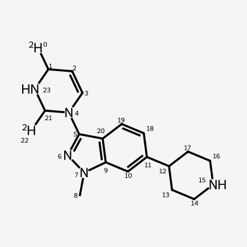 [2H]C1C=CN(c2nn(C)c3cc(C4CCNCC4)ccc23)C([2H])N1